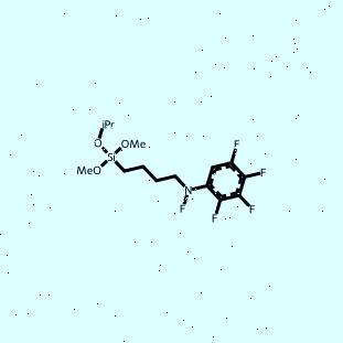 CO[Si](CCCCN(F)c1cc(F)c(F)c(F)c1F)(OC)OC(C)C